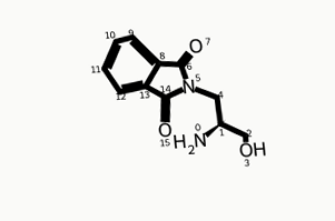 N[C@H](CO)CN1C(=O)c2ccccc2C1=O